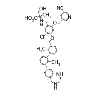 Cc1c(COc2cc(OCc3cncc(C#N)c3)c(CN[C@@](C)(CO)C(=O)O)cc2Cl)cccc1-c1cccc(-c2ccc3c(c2)NCCNC3)c1C